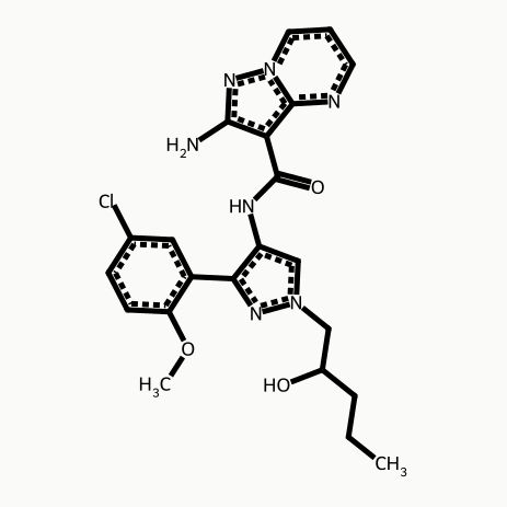 CCCC(O)Cn1cc(NC(=O)c2c(N)nn3cccnc23)c(-c2cc(Cl)ccc2OC)n1